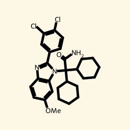 COc1ccc2nc(-c3ccc(Cl)c(Cl)c3)n(C(C(N)=O)(C3CCCCC3)C3CCCCC3)c2c1